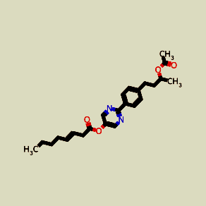 CCCCC=CCC(=O)Oc1cnc(-c2ccc(CCC(C)OC(C)=O)cc2)nc1